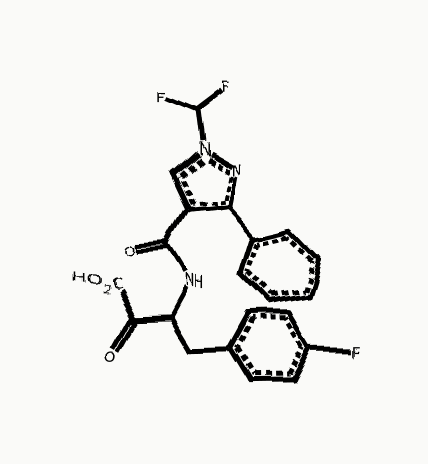 O=C(O)C(=O)C(Cc1ccc(F)cc1)NC(=O)c1cn(C(F)F)nc1-c1ccccc1